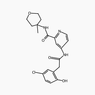 CC1(NC(=O)c2cc(NC(=O)Cc3cc(Cl)ccc3O)ccn2)CCOCC1